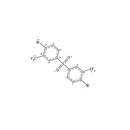 O=S(=O)(c1ccc(Br)c(C(F)(F)F)c1)c1ccc(Br)c(C(F)(F)F)c1